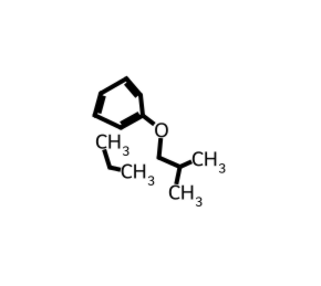 CC(C)COc1ccccc1.CCC